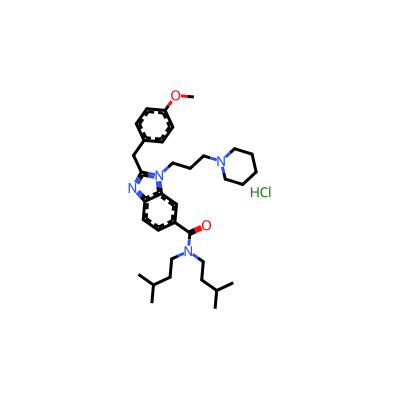 COc1ccc(Cc2nc3ccc(C(=O)N(CCC(C)C)CCC(C)C)cc3n2CCCN2CCCCC2)cc1.Cl